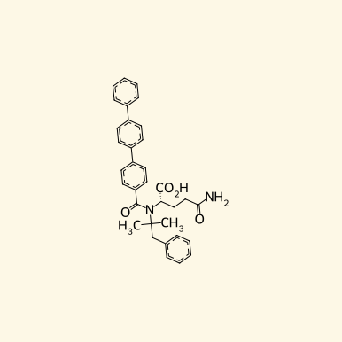 CC(C)(Cc1ccccc1)N(C(=O)c1ccc(-c2ccc(-c3ccccc3)cc2)cc1)[C@@H](CCC(N)=O)C(=O)O